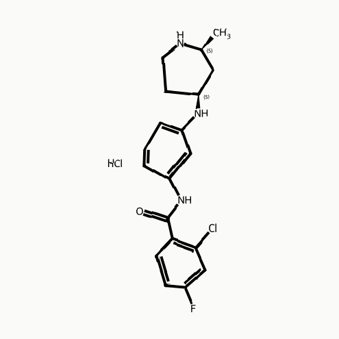 C[C@H]1C[C@@H](Nc2cccc(NC(=O)c3ccc(F)cc3Cl)c2)CCN1.Cl